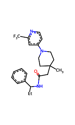 CCC(NC(=O)CC1(C)CCN(c2ccnc(C(F)(F)F)c2)CC1)c1ccccc1